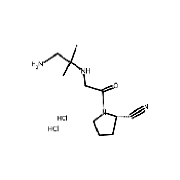 CC(C)(CN)NCC(=O)N1CCC[C@H]1C#N.Cl.Cl